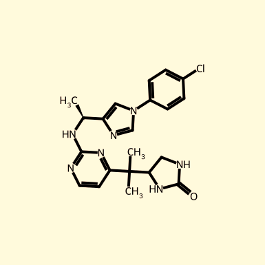 C[C@H](Nc1nccc(C(C)(C)C2CNC(=O)N2)n1)c1cn(-c2ccc(Cl)cc2)cn1